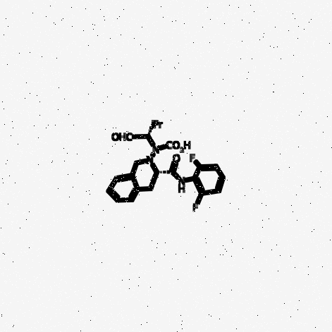 CC(C)[C@@H](C=O)N(C(=O)O)N1Cc2ccccc2C[C@H]1C(=O)Nc1c(F)cccc1F